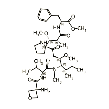 CC[C@H](C)[C@@H]([C@@H](CC(=O)[C@@]1([C@H](OC)[C@@H](C)C(=O)N[C@@H](Cc2ccccc2)C(=O)OC)CCCN1)OC)N(C)C(=O)[C@@H](NC(=O)C1(N)COC1)C(C)C